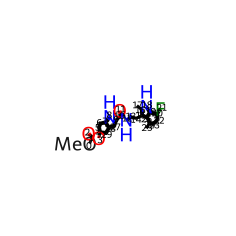 COC(=O)Oc1ccc2[nH]c(C(=O)NCCc3c(C)[nH]c4c(F)ccc(C)c34)cc2c1